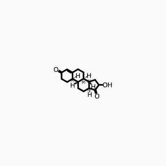 O=C1C=C2CC[C@H]3[C@@H]4CC(O)C(=O)[C@H]4CC[C@@H]3[C@H]2CC1